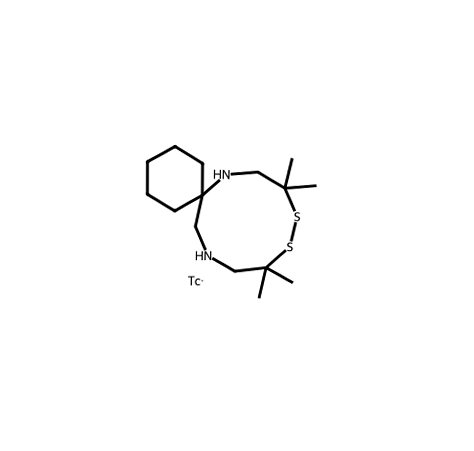 CC1(C)CNCC2(CCCCC2)NCC(C)(C)SS1.[Tc]